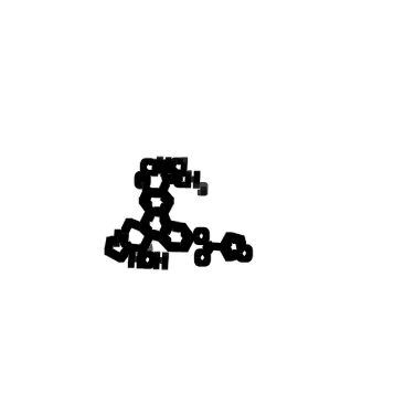 COc1cc2c3c(c4ccc(OC(=O)c5ccoc5)cc4c2cc1OC)[C@H](O)[C@@H]1CCCN1C3.Cl